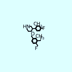 Cc1cc(F)ccc1C1CNCCC1OCc1ccc(CF)c(CF)c1C